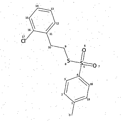 Cc1ccc(S(=O)(=O)SCCc2ccccc2Cl)cc1